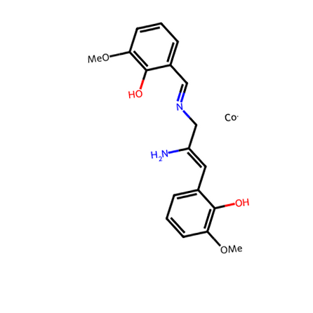 COc1cccc(C=NCC(N)=Cc2cccc(OC)c2O)c1O.[Co]